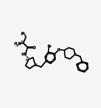 CC(C)C[C@H](N)C(=O)N[C@H]1CCN(Cc2ccc(OC3CCN(Cc4ccccc4)CC3)c(Br)c2)C1